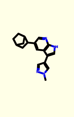 Cn1cc(-c2c[nH]c3ncc(C4CC5CCC4C5)cc23)cn1